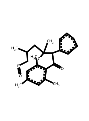 Cc1cc(C)c(C(=O)C(c2ccccc2)C(C)(C)CC(C)CP=O)c(C)c1